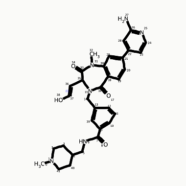 CN1CCC(CNC(=O)c2cccc(CN3C(=O)c4ccc(-c5ccnc(N)c5)cc4N(C)C(=O)C3/C=C/O)c2)CC1